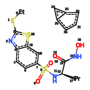 CCSc1nc2ccc(S(=O)(=O)N[C@@H](C(=O)NO)C(C)C)cc2s1.c1cc2cc-2c1